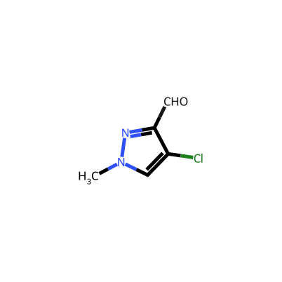 Cn1cc(Cl)c(C=O)n1